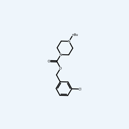 [CH2]CCCN1CCN(C(=O)OCc2cccc(Cl)c2)CC1